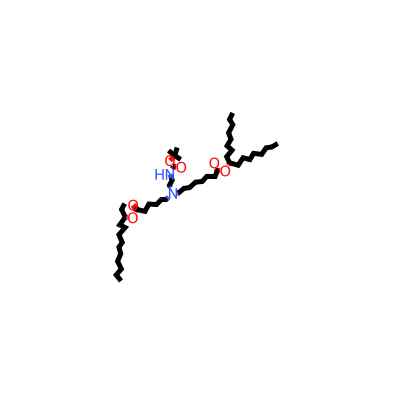 CCCCCCCCCCC(CC)OC(=O)CCCCCN(CCCCCCCC(=O)OC(CCCCCCCC)CCCCCCCC)CCNC(=O)OC(C)(C)C